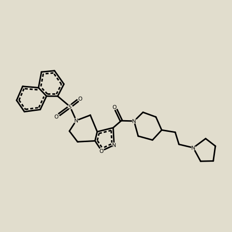 O=C(c1noc2c1CN(S(=O)(=O)c1cccc3ccccc13)CC2)N1CCC(CCN2CCCC2)CC1